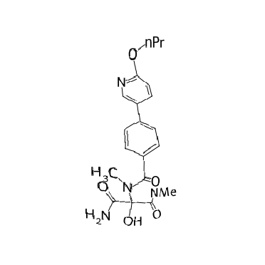 CCCOc1ccc(-c2ccc(C(=O)N(C)C(O)(C(N)=O)C(=O)NC)cc2)cn1